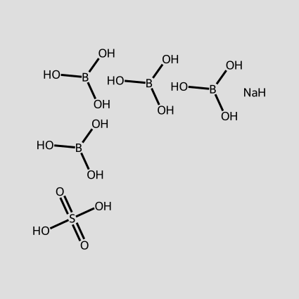 O=S(=O)(O)O.OB(O)O.OB(O)O.OB(O)O.OB(O)O.[NaH]